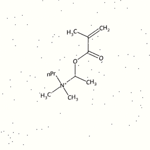 C=C(C)C(=O)OC(C)[N+](C)(C)CCC